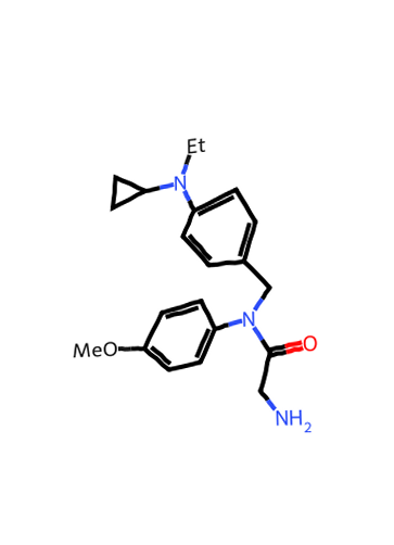 CCN(c1ccc(CN(C(=O)CN)c2ccc(OC)cc2)cc1)C1CC1